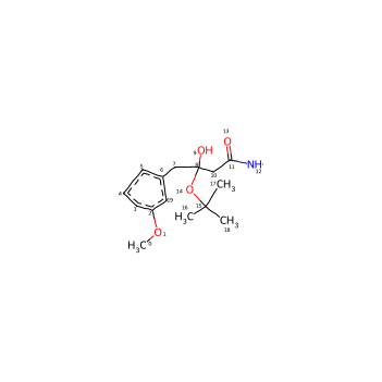 COc1cccc(CC(O)(CC([NH])=O)OC(C)(C)C)c1